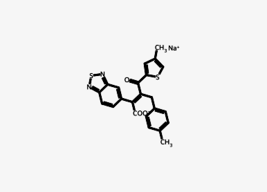 Cc1ccc(CC(C(=O)c2cc(C)cs2)=C(C(=O)[O-])c2ccc3nsnc3c2)cc1.[Na+]